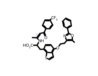 C/C(=C/C(=O)c1ccc(C(F)(F)F)cc1)NC(Cc1ccc(OCCc2nc(-c3ccccc3)oc2C)c2ccsc12)C(=O)O